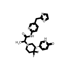 CC(C(=O)Nc1ccc(Cc2ncco2)cn1)N1CCC(F)(F)[C@@H](c2ccc(=O)[nH]c2)C1